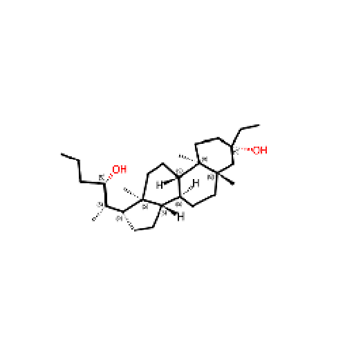 CCC[C@H](O)[C@@H](C)[C@H]1CC[C@H]2[C@@H]3CC[C@@]4(C)C[C@](O)(CC)CC[C@]4(C)[C@H]3CC[C@]12C